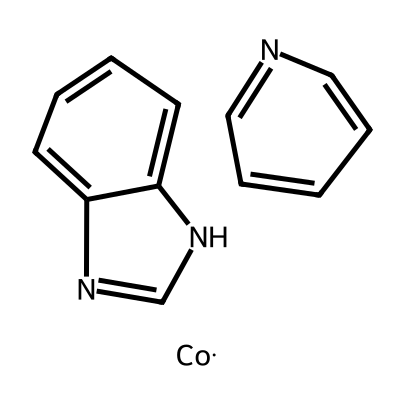 [Co].c1ccc2[nH]cnc2c1.c1ccncc1